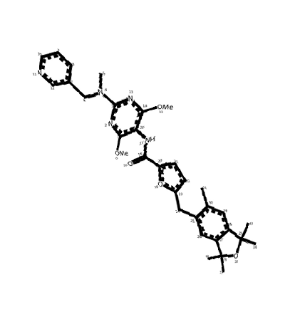 COc1nc(N(C)Cc2cccnc2)nc(OC)c1NC(=O)c1ccc(Cc2cc3c(cc2C)C(C)(C)OC3(C)C)o1